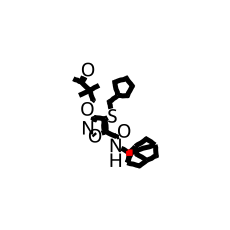 CC(=O)C(C)(C)COc1noc(C(=O)NC2C3CC4CC(C3)CC2C4)c1SCC1CCCC1